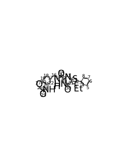 CCc1c(-c2ccccc2)sc2nc(C(=O)NCc3ccc4c(c3)NC(=O)CO4)[nH]c(=O)c12